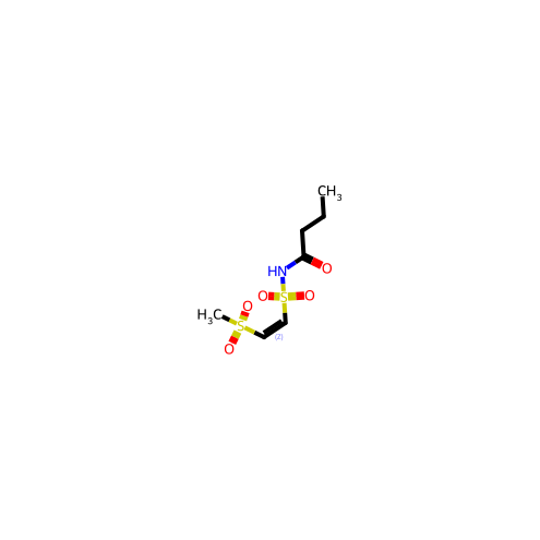 CCCC(=O)NS(=O)(=O)/C=C\S(C)(=O)=O